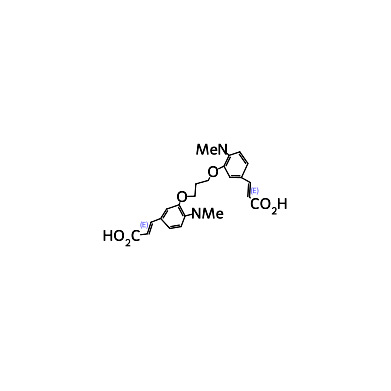 CNc1ccc(/C=C/C(=O)O)cc1OCCCOc1cc(/C=C/C(=O)O)ccc1NC